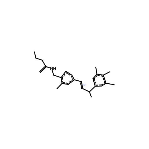 C=C(CCC)NCc1ccc(/C=C/C(C)c2cc(C)c(C)c(C)c2)cc1C